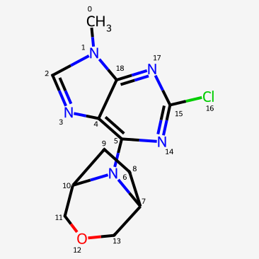 Cn1cnc2c(N3C4CCC3COC4)nc(Cl)nc21